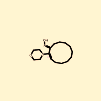 ON=C1CCCCCCCCC/C=C\1N1CCOCC1